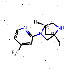 FC(F)(F)c1ccnc(N2C[C@@H]3C[C@H]2CN3)c1